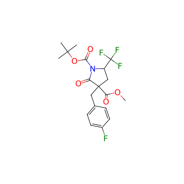 COC(=O)C1(Cc2ccc(F)cc2)CC(C(F)(F)F)N(C(=O)OC(C)(C)C)C1=O